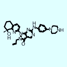 C=CCn1c(=O)c2cnc(Nc3ccc(N4CCNCC4)cc3)nc2n1-c1ccc2c(n1)[C@](C)(O)CCC2